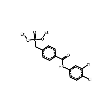 CCOP(=O)(Cc1ccc(C(=O)Nc2ccc(Cl)c(Cl)c2)cc1)OCC